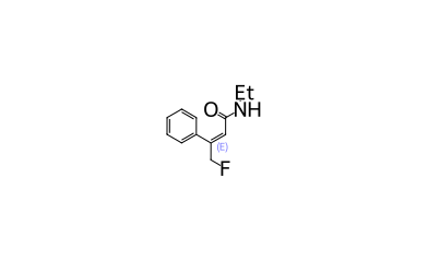 CCNC(=O)/C=C(/CF)c1ccccc1